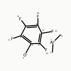 [CH3][Al+][CH3].[O-]c1c(F)c(F)c(F)c(F)c1F